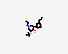 CCCc1cccc(C2CN(CCC)C=C(SC(C)(C)C)C2=O)c1